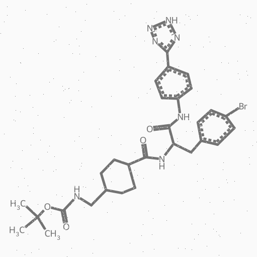 CC(C)(C)OC(=O)NCC1CCC(C(=O)NC(Cc2ccc(Br)cc2)C(=O)Nc2ccc(-c3nn[nH]n3)cc2)CC1